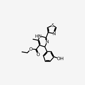 CCOC(=O)C1=C(C)NC(c2cscn2)=NC1c1cccc(O)c1